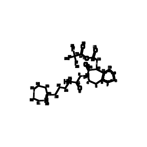 O=C(CN1CCc2ccccc2C(CC(=O)OC(=O)C(F)(F)F)C1=O)NCCCC1=NCCCCC1